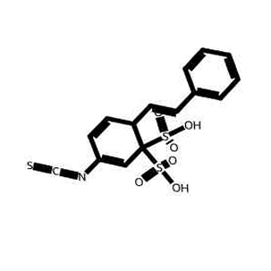 O=S(=O)(O)C1(S(=O)(=O)O)C=C(N=C=S)C=CC1C=Cc1ccccc1